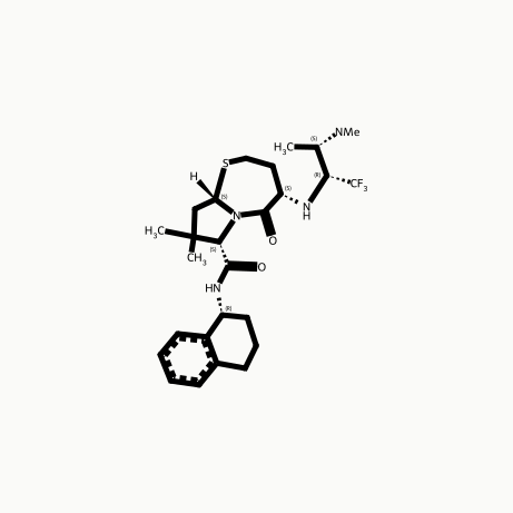 CN[C@@H](C)[C@@H](N[C@H]1CCS[C@H]2CC(C)(C)[C@@H](C(=O)N[C@@H]3CCCc4ccccc43)N2C1=O)C(F)(F)F